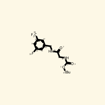 CC(C)(C)OC(=O)NCC(=O)NCc1cc(F)cc(C(F)(F)F)c1